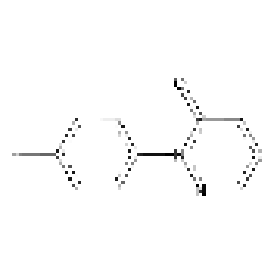 O=c1cccnn1-c1c[c]c(F)cc1